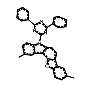 Cc1ccc2oc3c(ccc4c3c3cc(C)ccc3n4-c3nc(-c4ccccc4)nc(-c4ccccc4)n3)c2c1